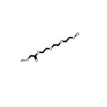 CCOCCOCCOCCOC(=O)COC